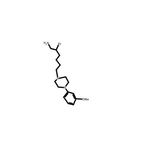 CCC(CN)CCCCN1CCN(c2cccc(OC)c2)CC1